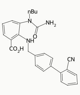 CCCCN(C(N)=O)c1cccc(C(=O)O)c1NCc1ccc(-c2ccccc2C#N)cc1